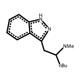 CCCCC(Cc1n[nH]c2ccccc12)NC